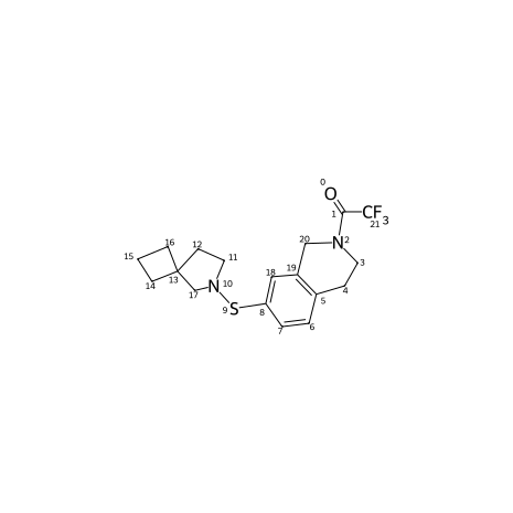 O=C(N1CCc2ccc(SN3CCC4(CCC4)C3)cc2C1)C(F)(F)F